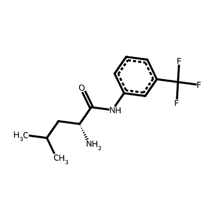 CC(C)C[C@@H](N)C(=O)Nc1cccc(C(F)(F)F)c1